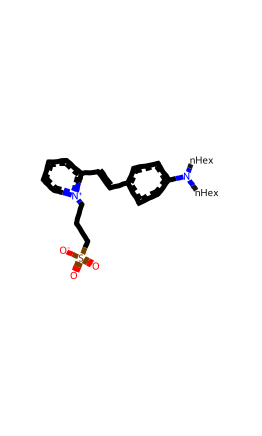 CCCCCCN(CCCCCC)c1ccc(C=Cc2cccc[n+]2CCCS(=O)(=O)[O-])cc1